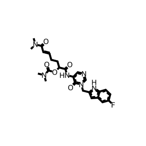 CN(C)C(=O)C=CCCC(OC(=O)N(C)C)C(=O)Nc1cncn(Cc2cc3cc(F)ccc3[nH]2)c1=O